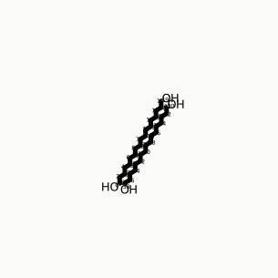 OCCCCCCCCCCCCCCCCCCO.OCCCCCCCCCCCCCCCCCO